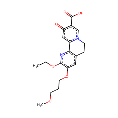 CCOc1nc2c(cc1OCCCOC)CCn1cc(C(=O)O)c(=O)cc1-2